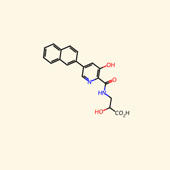 O=C(NCC(O)C(=O)O)c1ncc(-c2ccc3ccccc3c2)cc1O